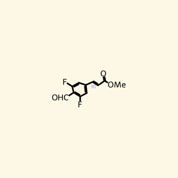 COC(=O)/C=C/c1cc(F)c(C=O)c(F)c1